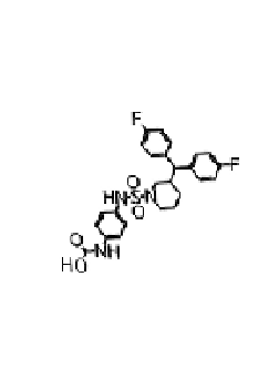 O=C(O)Nc1ccc(NS(=O)(=O)N2CCCC(C(c3ccc(F)cc3)c3ccc(F)cc3)C2)cc1